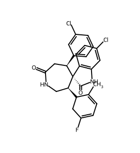 CC1=CC=C(F)CC1[C@H]1CNC(=O)C[C@@H](c2cccc(Cl)c2)[C@]12C(=O)Nc1cc(Cl)ccc12